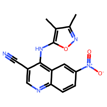 Cc1noc(Nc2c(C#N)cnc3ccc([N+](=O)[O-])cc23)c1C